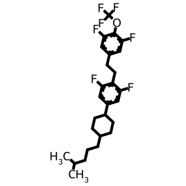 CC(C)CCCC1CCC(c2cc(F)c(CCc3cc(F)c(OC(F)(F)F)c(F)c3)c(F)c2)CC1